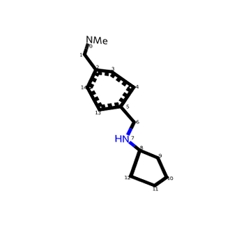 CNCc1ccc(CNC2CCCC2)cc1